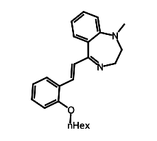 CCCCCCOc1ccccc1C=CC1=NCCN(C)c2ccccc21